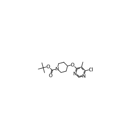 Cc1c(Cl)ncnc1OC1CCN(C(=O)OC(C)(C)C)CC1